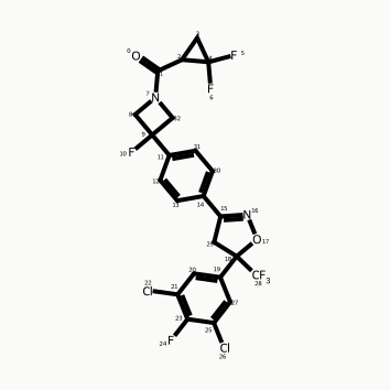 O=C(C1CC1(F)F)N1CC(F)(c2ccc(C3=NOC(c4cc(Cl)c(F)c(Cl)c4)(C(F)(F)F)C3)cc2)C1